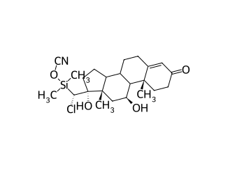 C[C@]12CCC(=O)C=C1CCC1C2[C@@H](O)C[C@@]2(C)C1CC[C@]2(O)[C@H](Cl)[Si](C)(C)OC#N